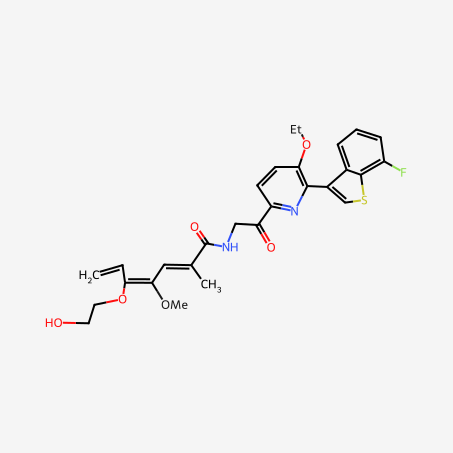 C=C/C(OCCO)=C(\C=C(/C)C(=O)NCC(=O)c1ccc(OCC)c(-c2csc3c(F)cccc23)n1)OC